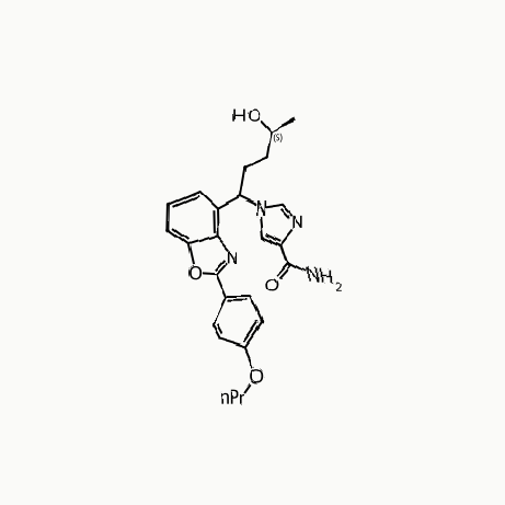 CCCOc1ccc(-c2nc3c(C(CC[C@H](C)O)n4cnc(C(N)=O)c4)cccc3o2)cc1